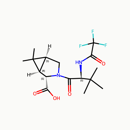 CC(C)(C)[C@H](NC(=O)C(F)(F)F)C(=O)N1C[C@H]2[C@@H]([C@H]1C(=O)O)C2(C)C